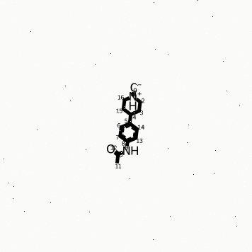 [CH2-][NH+]1CCC(c2ccc(NC(C)=O)cc2)CC1